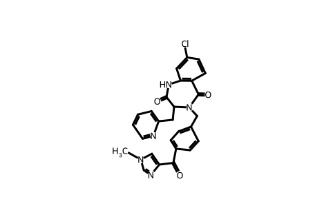 Cn1cnc(C(=O)c2ccc(CN3C(=O)c4ccc(Cl)cc4NC(=O)C3Cc3ccccn3)cc2)c1